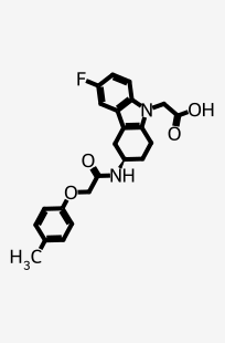 Cc1ccc(OCC(=O)N[C@@H]2CCc3c(c4cc(F)ccc4n3CC(=O)O)C2)cc1